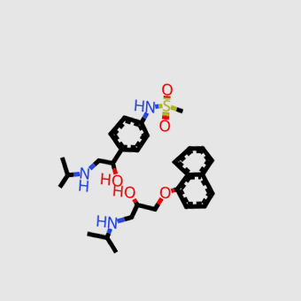 CC(C)NCC(O)COc1cccc2ccccc12.CC(C)NCC(O)c1ccc(NS(C)(=O)=O)cc1